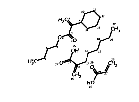 C=C(C(=O)OCCCC)C1CCCCC1.C=C(CCCCCC)C(=O)O.C=CC(=O)O